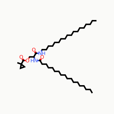 CCCCCCCCCCCCCCCCCCNC(=O)C(COC(=O)C1(C)CC1)NC(=O)CCCCCCCCCCCCCCCCC